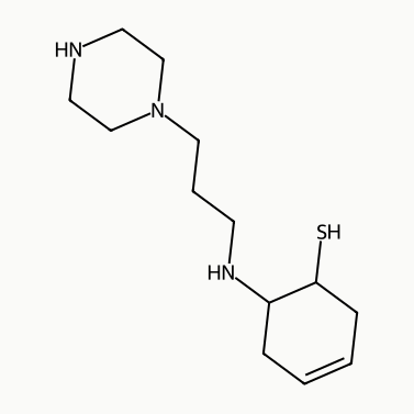 SC1CC=CCC1NCCCN1CCNCC1